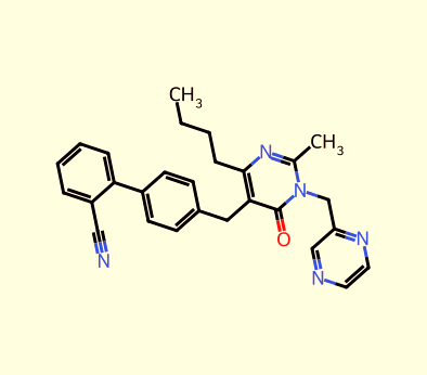 CCCCc1nc(C)n(Cc2cnccn2)c(=O)c1Cc1ccc(-c2ccccc2C#N)cc1